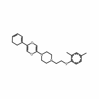 Cc1ccc(SCCN2CCN(C3=COC(C4=CC=CCC4)=CO3)CC2)c(C)c1